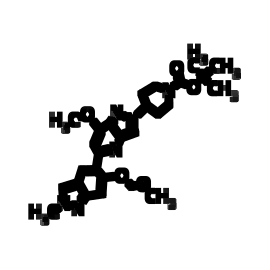 COCOc1cc2nn(C)cc2cc1-c1cc(OC)c2nn(C3CCN(C(=O)OC(C)(C)C)CC3)cc2n1